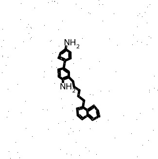 Nc1ccc(-c2ccc(N)c(CCCCCc3cccc4ccccc34)c2)cc1